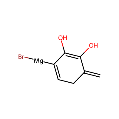 C=C1CC=[C]([Mg][Br])C(O)=C1O